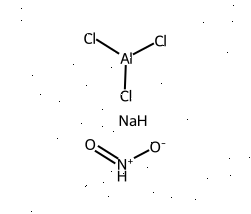 O=[NH+][O-].[Cl][Al]([Cl])[Cl].[NaH]